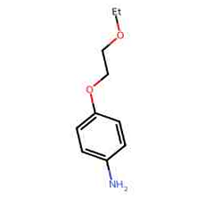 CCOCCOc1ccc(N)cc1